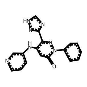 O=c1cc(Nc2cccnc2)c(-c2nc[nH]n2)nn1-c1ccccc1